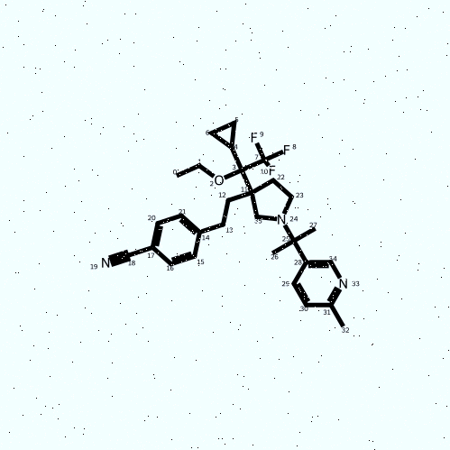 CCOC(C1CC1)(C(F)(F)F)C1(CCc2ccc(C#N)cc2)CCN(C(C)(C)c2ccc(C)nc2)C1